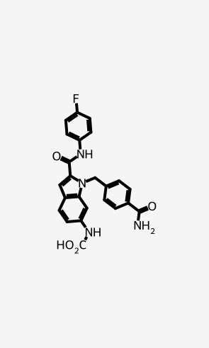 NC(=O)c1ccc(Cn2c(C(=O)Nc3ccc(F)cc3)cc3ccc(NC(=O)O)cc32)cc1